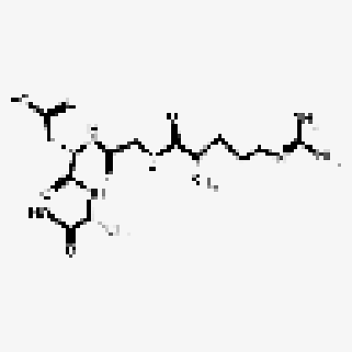 C[C@@H](NC(=O)[C@H](CC(=O)O)NC(=O)CNC(=O)[C@@H](N)CCCN=C(N)N)C(=O)O